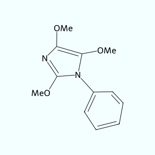 COc1nc(OC)n(-c2ccccc2)c1OC